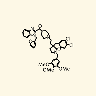 COc1cc(CN2CCC(CCN3CCC(C(=O)c4nc5ccccc5n4Cc4ccco4)CC3)(Cc3ccc(Cl)c(Cl)c3)C2=O)cc(OC)c1OC